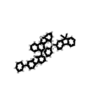 CC1(C)c2ccccc2-c2ccc(N(c3ccccc3)c3cccc4oc5c6ccccc6c(-c6cccc7c6sc6cc(-c8ccccc8)ccc67)cc5c34)cc21